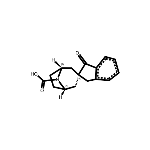 O=C(O)N1[C@@H]2CC[C@H]1C[C@]1(Cc3ccccc3C1=O)C2